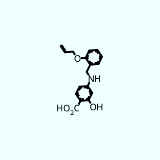 C=CCOc1ccccc1CNc1ccc(C(=O)O)c(O)c1